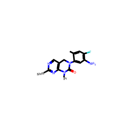 CNc1ncc2c(n1)N(C(C)C)C(=O)N(c1cc(N)c(F)cc1C)C2